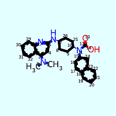 CN(C)c1cc(N[C@H]2CC[C@@H](N(C(=O)O)c3ccc4ccccc4c3)CC2)nc2ccccc12